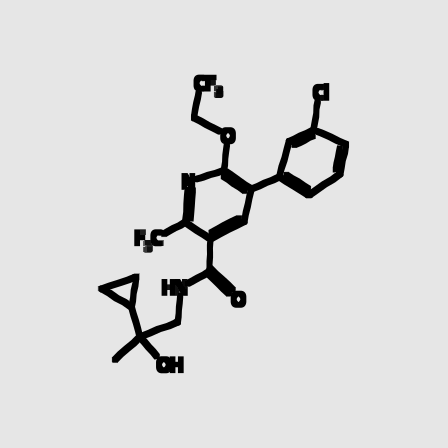 CC(O)(CNC(=O)c1cc(-c2cccc(Cl)c2)c(OCC(F)(F)F)nc1C(F)(F)F)C1CC1